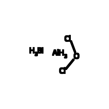 ClOCl.[AlH3].[BiH3]